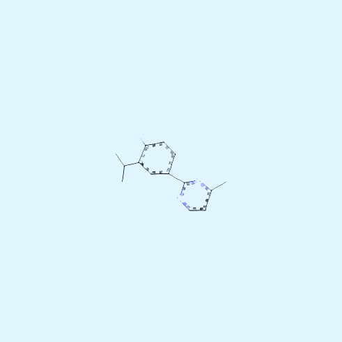 Cc1ccnc(-c2ccc(F)c(C(C)C)c2)n1